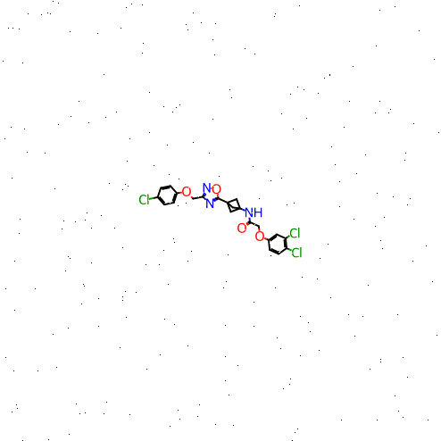 O=C(COc1ccc(Cl)c(Cl)c1)NC12CC(c3nc(COc4ccc(Cl)cc4)no3)(C1)C2